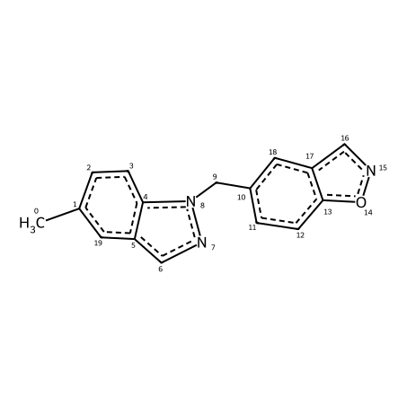 Cc1ccc2c(cnn2Cc2ccc3oncc3c2)c1